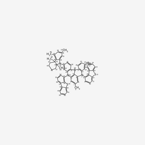 Cc1cc2c3c(c1)N(c1cccc4sc5ccccc5c14)c1cc(C(C)(C)C)ccc1B3c1ccc(N3c4cc(C)cc(C)c4C4(C)CCCCC34C)cc1N2c1cccc2c1sc1ccccc12